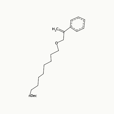 C=C(COCCCCCCCCCCCCCCCCCC)c1ccccc1